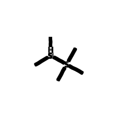 C[SiH](C)S(C)(C)C